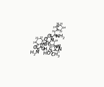 CC(C)(O)c1cnnn1[C@H]1C[C@@H](C(=O)NC2(C(=O)C(N)=O)CCCCC2)N(C(=O)C(N)CC23CCC(CC2)C3)C1